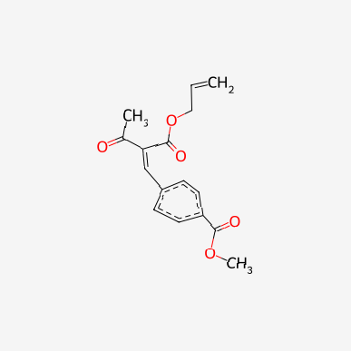 C=CCOC(=O)C(=Cc1ccc(C(=O)OC)cc1)C(C)=O